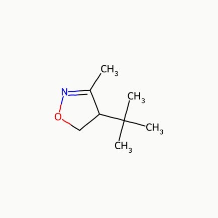 CC1=NOCC1C(C)(C)C